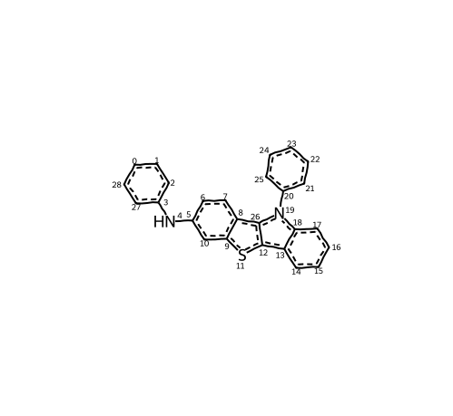 c1ccc(Nc2ccc3c(c2)sc2c4ccccc4n(-c4ccccc4)c32)cc1